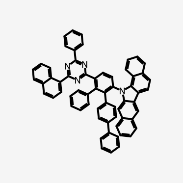 c1ccc(-c2ccc(-c3c(-n4c5cc6ccccc6cc5c5ccc6ccccc6c54)ccc(-c4nc(-c5ccccc5)nc(-c5cccc6ccccc56)n4)c3-c3ccccc3)cc2)cc1